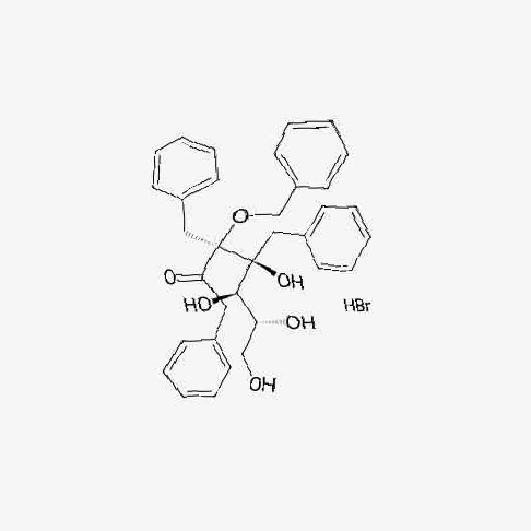 Br.O=C(Cc1ccccc1)[C@@](Cc1ccccc1)(OCc1ccccc1)[C@](O)(Cc1ccccc1)[C@H](O)[C@H](O)CO